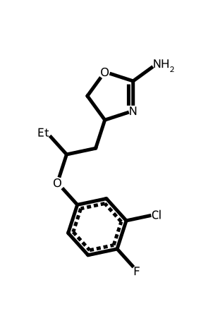 CCC(CC1COC(N)=N1)Oc1ccc(F)c(Cl)c1